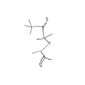 CC(=O)C(C)SC(C)(C)C(=O)C(C)(C)C